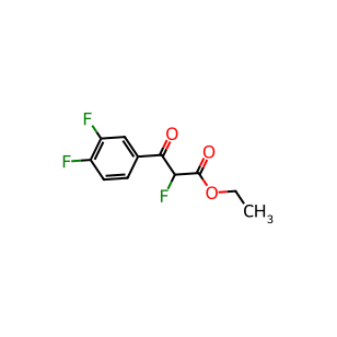 CCOC(=O)C(F)C(=O)c1ccc(F)c(F)c1